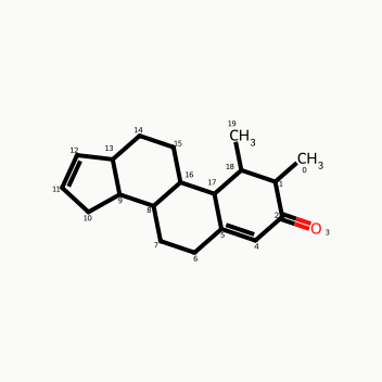 CC1C(=O)C=C2CCC3C4CC=CC4CCC3C2C1C